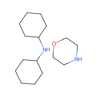 C1CCC(NC2CCCCC2)CC1.C1COCCN1